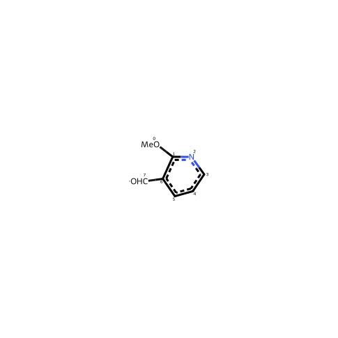 COc1ncccc1[C]=O